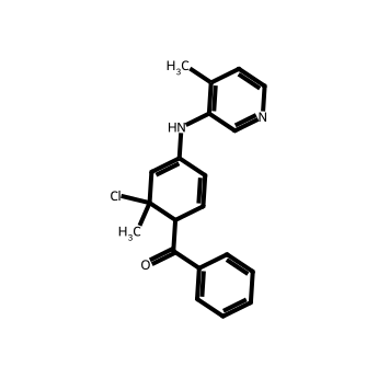 Cc1ccncc1NC1=CC(C)(Cl)C(C(=O)c2ccccc2)C=C1